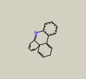 C1=CC2=Nc3ccccc3C3=CCC=CC32C=C1